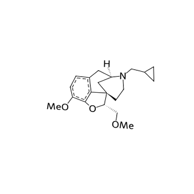 COC[C@@H]1Oc2c(OC)ccc3c2[C@@]12CCN(CC1CC1)[C@H](C3)C2